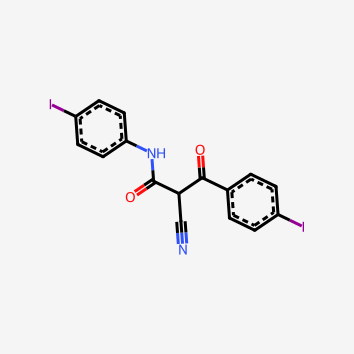 N#CC(C(=O)Nc1ccc(I)cc1)C(=O)c1ccc(I)cc1